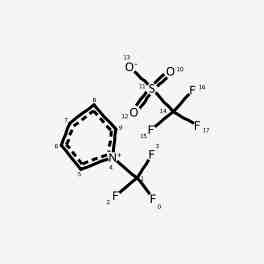 FC(F)(F)[n+]1ccccc1.O=S(=O)([O-])C(F)(F)F